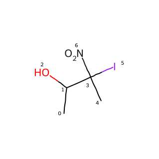 CC(O)C(C)(I)[N+](=O)[O-]